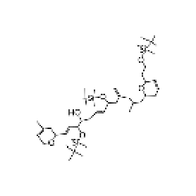 C=C(CC(C)CC1CC=CC(CCO[Si](C)(C)C(C)(C)C)O1)CC(C=CCC(O)C(C=CC1CC(C)=CCO1)O[Si](C)(C)C(C)(C)C)O[Si](C)(C)C(C)(C)C